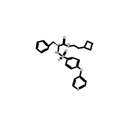 O=C(N[CH]CC1CCC1)[C@H](Cc1ccccc1)NS(=O)(=O)c1ccc(Oc2ccncc2)cc1